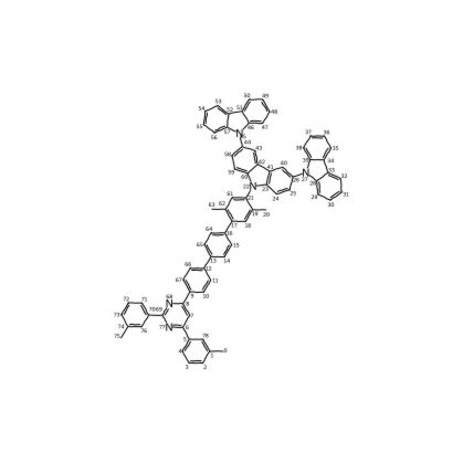 Cc1cccc(-c2cc(-c3ccc(-c4ccc(-c5cc(C)c(-n6c7ccc(-n8c9ccccc9c9ccccc98)cc7c7cc(-n8c9ccccc9c9ccccc98)ccc76)cc5C)cc4)cc3)nc(-c3cccc(C)c3)n2)c1